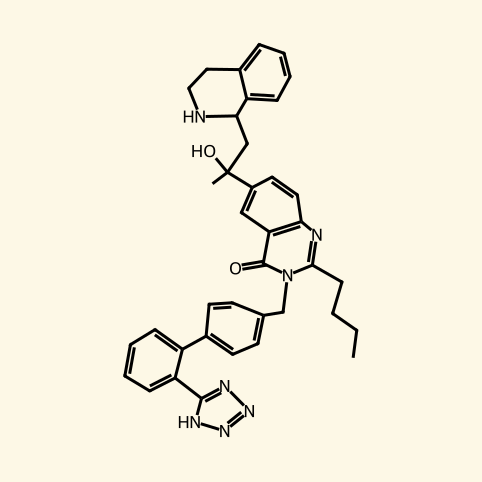 CCCCc1nc2ccc(C(C)(O)CC3NCCc4ccccc43)cc2c(=O)n1Cc1ccc(-c2ccccc2-c2nnn[nH]2)cc1